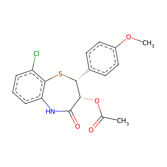 COc1ccc([C@H]2Sc3c(Cl)cccc3NC(=O)[C@H]2OC(C)=O)cc1